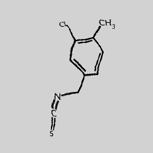 Cc1ccc(CN=C=S)cc1Cl